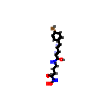 O=C(/C=C/C=C/c1ccc(Br)cc1)NCCCC(=O)NO